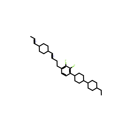 C/C=C/C1CCC(/C=C/CCc2ccc(C3CCC(C4CCC(CC)CC4)CC3)c(F)c2F)CC1